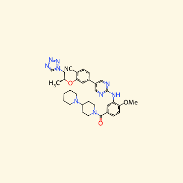 COc1ccc(C(=O)N2CCC(N3CCCCC3)CC2)cc1Nc1ncc(-c2ccc(C#N)c(O[C@@H](C)Cn3cnnn3)c2)cn1